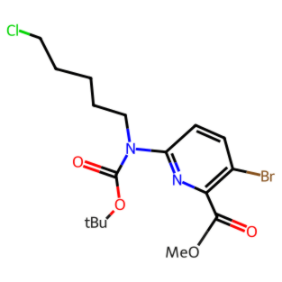 COC(=O)c1nc(N(CCCCCCl)C(=O)OC(C)(C)C)ccc1Br